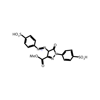 COC(=O)C1=NN(c2ccc(S(=O)(=O)O)cc2)C(=O)C1/N=N/c1ccc(S(=O)(=O)O)cc1